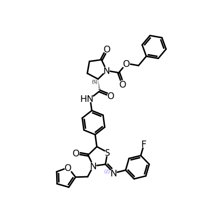 O=C(Nc1ccc(C2S/C(=N\c3cccc(F)c3)N(Cc3ccco3)C2=O)cc1)[C@@H]1CCC(=O)N1C(=O)OCc1ccccc1